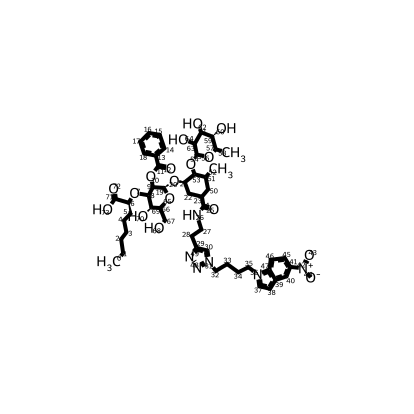 CCCCCC[C@H](OC1C(OC(=O)c2ccccc2)[C@H](O[C@@H]2CC(C(=O)NCCc3cn(CCCCn4ccc5cc([N+](=O)[O-])ccc54)nn3)CC(C)C2O[C@@H]2OC(C)[C@@H](O)C(O)C2O)OC(CO)[C@@H]1O)C(=O)O